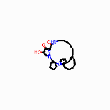 O=C1NCCCCCCC2=C\c3ccn(c3CCC/C=C\2)C2(CCCC2)Cn2cc(O)c(=O)c1n2